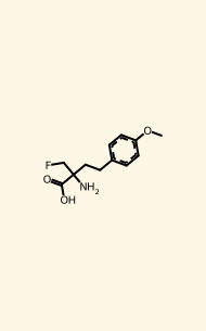 COc1ccc(CCC(N)(CF)C(=O)O)cc1